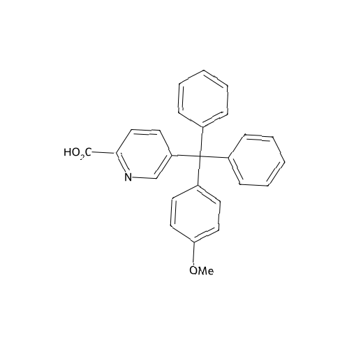 COc1ccc(C(c2ccccc2)(c2ccccc2)c2ccc(C(=O)O)nc2)cc1